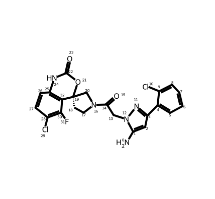 Nc1cc(-c2ccccc2Cl)nn1CC(=O)N1CC[C@@]2(C1)OC(=O)Nc1ccc(Cl)c(F)c12